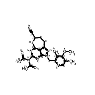 COc1c(C)cnc(Cn2nc3c4c(nc(N(C(=O)O)C(=O)O)nc42)SC(C#N)CC3)c1C